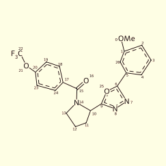 COc1cccc(-c2nnc(C3CCCN3C(=O)c3ccc(OC(F)(F)F)cc3)o2)c1